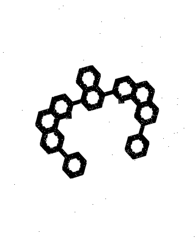 c1ccc(-c2ccc3ccc4ccc(-c5ccc(-c6ccc7ccc8ccc(-c9ccccc9)cc8c7n6)c6ccccc56)nc4c3c2)cc1